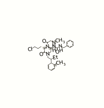 CCC(CN1C[C@H]2N(C(=O)CN(C)N2C(=O)NCc2ccccc2)[C@@H](CCCCl)C1=O)C1C=CC=C[C@@H]1C